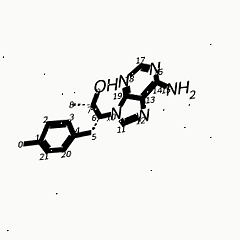 Cc1ccc(C[C@H]([C@H](C)O)n2cnc3c(N)ncnc32)cc1